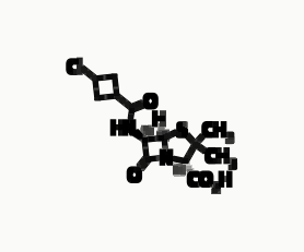 CC1(C)S[C@@H]2[C@H](NC(=O)C3CC(Cl)C3)C(=O)N2[C@H]1C(=O)O